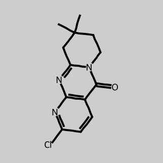 CC1(C)CCn2c(nc3nc(Cl)ccc3c2=O)C1